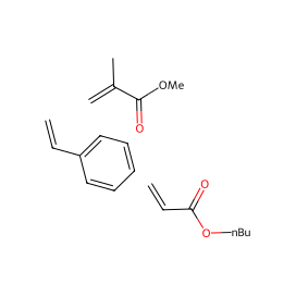 C=C(C)C(=O)OC.C=CC(=O)OCCCC.C=Cc1ccccc1